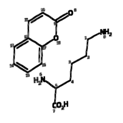 NCCCCC(N)C(=O)O.O=c1ccc2ccccc2o1